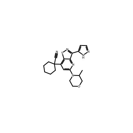 CC1COCCN1c1cc(C2(C#N)CCCCC2)c2snc(-c3ccn[nH]3)c2n1